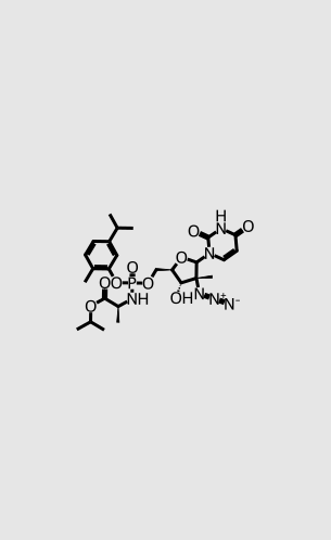 Cc1ccc(C(C)C)cc1OP(=O)(N[C@@H](C)C(=O)OC(C)C)OC[C@H]1OC(n2ccc(=O)[nH]c2=O)[C@](C)(N=[N+]=[N-])[C@@H]1O